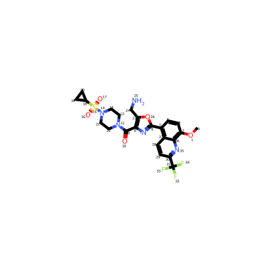 COc1ccc(-c2nc(C(=O)N3CCN(S(=O)(=O)C4CC4)CC3)c(CN)o2)c2ccc(C(F)(F)F)nc12